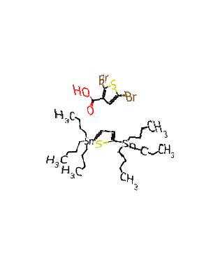 CCC[CH2][Sn]([CH2]CCC)([CH2]CCC)[c]1cc[c]([Sn]([CH2]CCC)([CH2]CCC)[CH2]CCC)s1.O=C(O)c1cc(Br)sc1Br